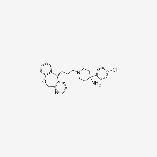 NC1(c2ccc(Cl)cc2)CCN(CCC=C2c3ccccc3OCc3ncccc32)CC1